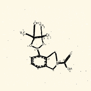 CC1(C)OB(c2cccc3c2CN(C(=O)O)C3)OC1(C)C